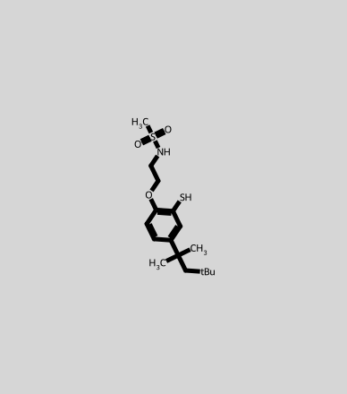 CC(C)(C)CC(C)(C)c1ccc(OCCNS(C)(=O)=O)c(S)c1